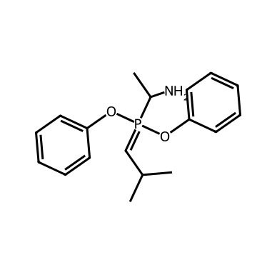 CC(C)C=P(Oc1ccccc1)(Oc1ccccc1)C(C)N